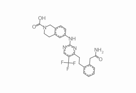 NC(=O)Cc1ccccc1CCc1nc(Nc2ccc3c(c2)CCN(C(=O)O)C3)ncc1C(F)(F)F